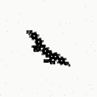 C=C1/C(=C(/C)C#N)c2cc(-c3ccc(C(F)(F)F)cc3)ccc2/C1=N/c1ccc2nc3c(nc2c1)-c1ccc(-c2ccc(C(F)(F)F)cc2)cc1C3=C(C#N)C#N